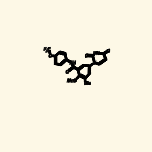 COc1c(C(=O)Nc2ccc(OC(F)(F)F)cc2)cc(-n2ccc(=O)[nH]c2=O)cc1C(C)(C)C